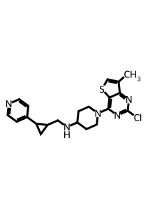 Cc1csc2c(N3CCC(NCC4CC4c4ccncc4)CC3)nc(Cl)nc12